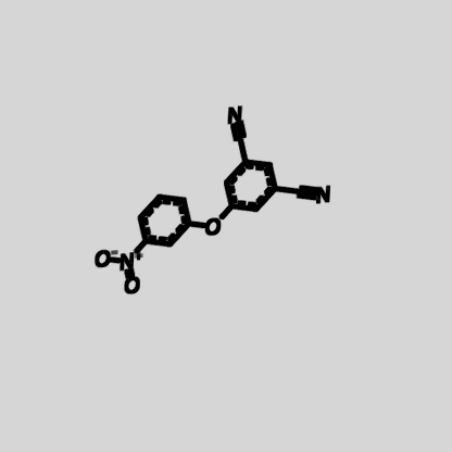 N#Cc1cc(C#N)cc(Oc2cccc([N+](=O)[O-])c2)c1